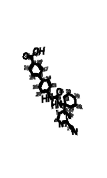 N#Cc1nccc(C2(NC(=O)Nc3ccc(-c4ccc(C(=O)O)cc4)cc3)CCCCC2)n1